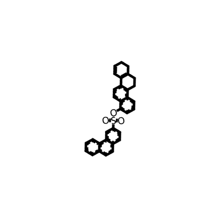 O=S(=O)(Oc1cccc2c3c(ccc12)C1=C(CCC=C1)CC3)c1ccc2ccc3ccccc3c2c1